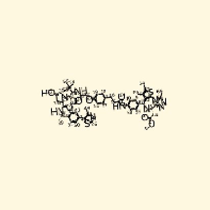 COC(=O)C[C@@H]1N=C(c2ccc(NC(=O)CCc3ccc(OCC(=O)N[C@H](C(=O)N4C[C@H](O)C[C@H]4C(=O)N[C@@H](C)c4ccc(-c5scnc5C)cc4)C(C)(C)C)cc3)cc2)c2c(sc(C)c2C)-n2c(C)nnc21